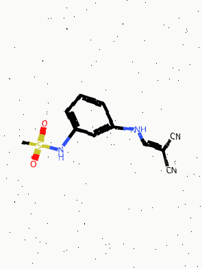 CS(=O)(=O)Nc1cccc(NC=C(C#N)C#N)c1